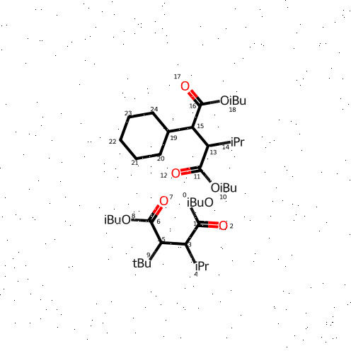 CC(C)COC(=O)C(C(C)C)C(C(=O)OCC(C)C)C(C)(C)C.CC(C)COC(=O)C(C(C)C)C(C(=O)OCC(C)C)C1CCCCC1